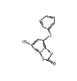 O=c1oc2c(Sc3ccccc3)cc(O)cc2s1